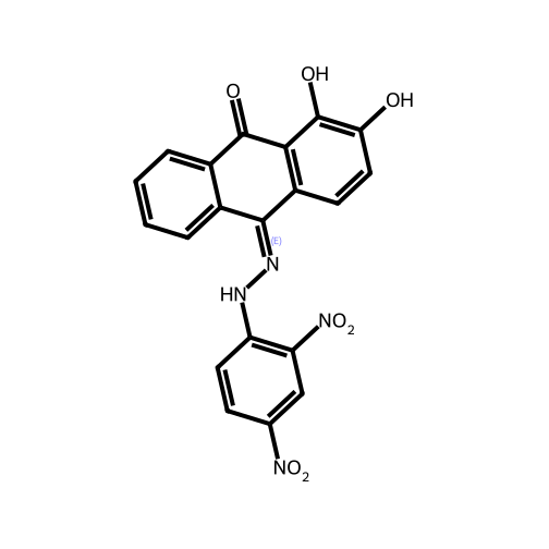 O=C1c2ccccc2/C(=N\Nc2ccc([N+](=O)[O-])cc2[N+](=O)[O-])c2ccc(O)c(O)c21